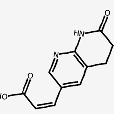 O=C(O)/C=C\c1cnc2c(c1)CCC(=O)N2